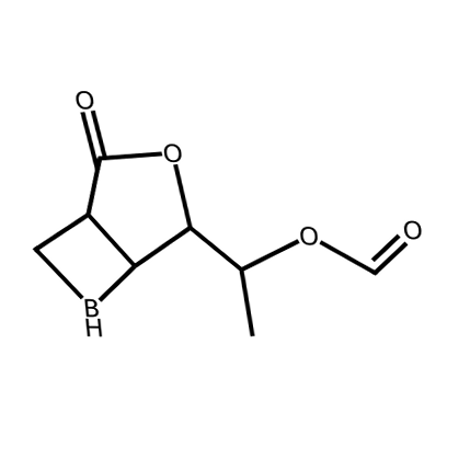 CC(OC=O)C1OC(=O)C2CBC21